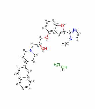 Cl.Cl.Cn1ccnc1-c1cc2c(OC[C@@H](O)CN3CCC(c4ccc5ccccc5c4)CC3)cccc2o1